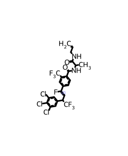 C=CCNC(=O)C(C)NC(=O)c1ccc(/C(F)=C/C(c2cc(Cl)c(Cl)c(Cl)c2)C(F)(F)F)cc1C(F)(F)F